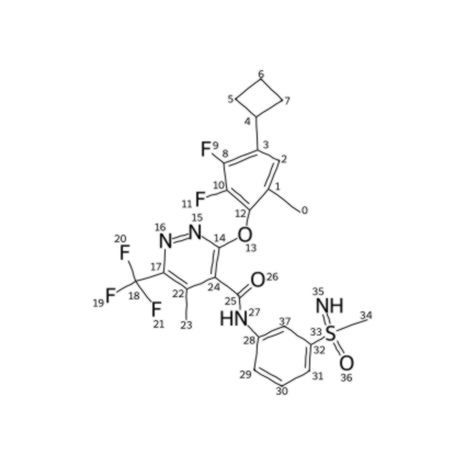 Cc1cc(C2CCC2)c(F)c(F)c1Oc1nnc(C(F)(F)F)c(C)c1C(=O)Nc1cccc(S(C)(=N)=O)c1